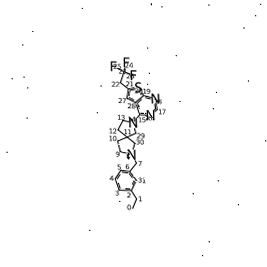 CCc1cccc(CN2CCC3(CCN(c4ncnc5sc(CC(F)(F)F)cc45)C3)C2)c1